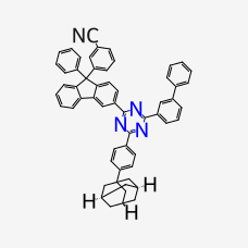 N#Cc1cccc(C2(c3ccccc3)c3ccccc3-c3cc(-c4nc(-c5ccc(C67C[C@H]8C[C@@H](C6)C[C@@H](C7)C8)cc5)nc(-c5cccc(-c6ccccc6)c5)n4)ccc32)c1